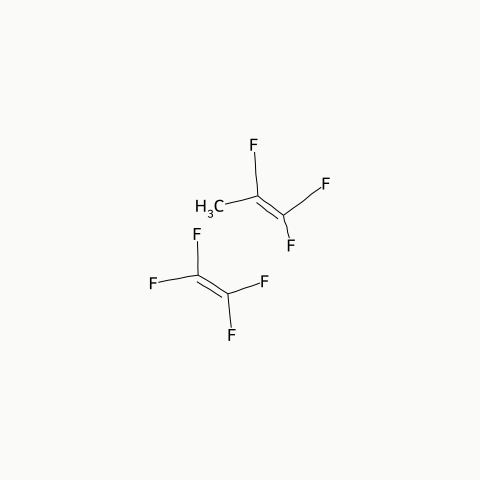 CC(F)=C(F)F.FC(F)=C(F)F